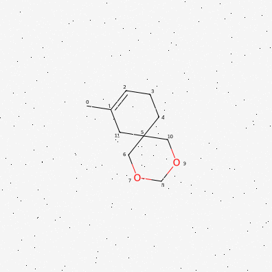 CC1=CCCC2(COCOC2)C1